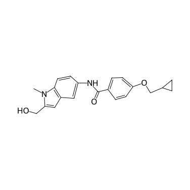 Cn1c(CO)cc2cc(NC(=O)c3ccc(OCC4CC4)cc3)ccc21